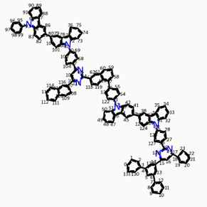 c1ccc(-c2cc(-c3ccccc3)cc(-c3cc(-c4ccccc4)nc(-c4ccc(-n5c6ccccc6c6cc(-c7ccc8c(c7)c7ccccc7n8-c7ccc(-c8cccc9cc(-c%10nc(-c%11ccc(-n%12c%13ccccc%13c%13cc(-c%14ccc%15c(c%14)c%14ccccc%14n%15-c%14ccccc%14)ccc%13%12)cc%11)cc(-c%11ccc%12ccccc%12c%11)n%10)ccc89)cc7)ccc65)cc4)n3)c2)cc1